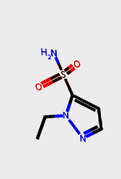 CCn1nccc1S(N)(=O)=O